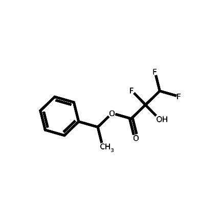 CC(OC(=O)C(O)(F)C(F)F)c1ccccc1